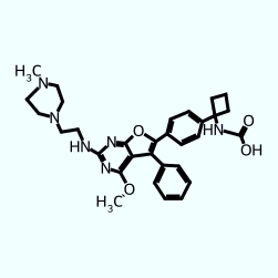 COc1nc(NCCN2CCN(C)CC2)nc2oc(-c3ccc(C4(NC(=O)O)CCC4)cc3)c(-c3ccccc3)c12